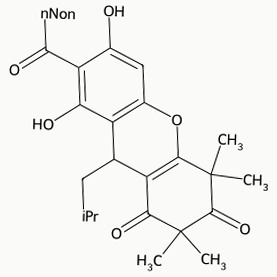 CCCCCCCCCC(=O)c1c(O)cc2c(c1O)C(CC(C)C)C1=C(O2)C(C)(C)C(=O)C(C)(C)C1=O